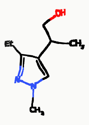 CCc1nn(C)cc1C(C)CO